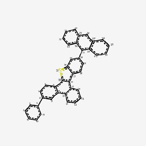 c1ccc(-c2ccc3c(c2)c2ccccc2c2c4ccc(-c5c6ccccc6cc6ccccc56)cc4sc32)cc1